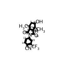 C[C@]12O[C@@](C)(C[C@H]1O)C1C(=O)N(c3ccc(C#N)c(C(F)(F)F)c3)C(=O)[C@@H]12